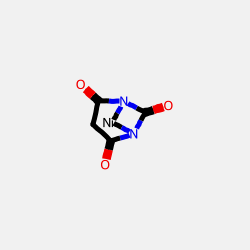 O=C1CC(=O)[N]2[Ni][N]1C2=O